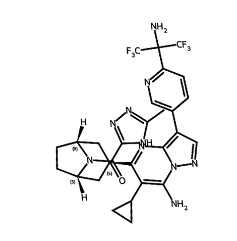 Cc1nnc(C(=O)N2[C@@H]3CC[C@H]2C[C@H](c2nc4c(-c5ccc(C(N)(C(F)(F)F)C(F)(F)F)nc5)cnn4c(N)c2C2CC2)C3)[nH]1